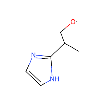 CC(C[O])c1ncc[nH]1